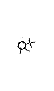 Cc1cccc(S(=O)([O-])=S)c1O.[K+]